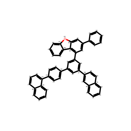 c1ccc(-c2cc(-c3cc(-c4ccc(-c5cccc6ccccc56)cc4)cc(-c4ccc5ccccc5c4)c3)c3c(c2)oc2ccccc23)cc1